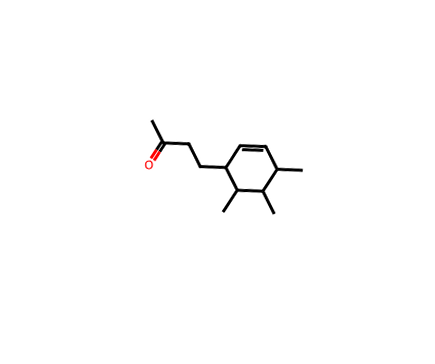 CC(=O)CCC1C=CC(C)C(C)C1C